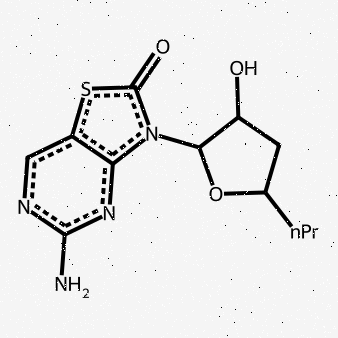 CCCC1CC(O)C(n2c(=O)sc3cnc(N)nc32)O1